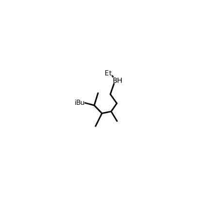 CCBCCC(C)C(C)C(C)C(C)CC